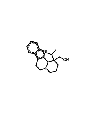 CC(C)C1(CO)CCCN2CCc3c([nH]c4ccccc34)C21